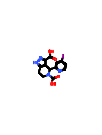 O=C(O)c1n[nH]c2c1C(c1cc(I)ccn1)N(C(=O)O)CC2